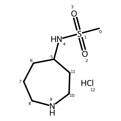 CS(=O)(=O)NC1CCCNCC1.Cl